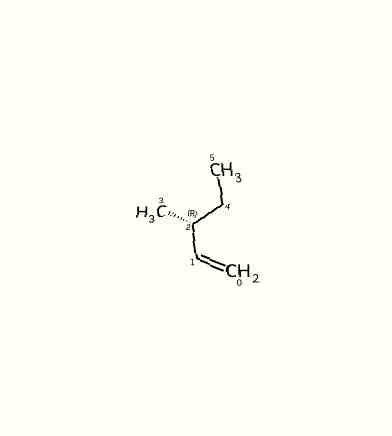 C=C[C@H](C)CC